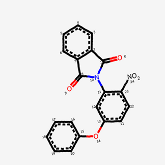 O=C1c2ccccc2C(=O)N1c1cc(Oc2ccccc2)ccc1[N+](=O)[O-]